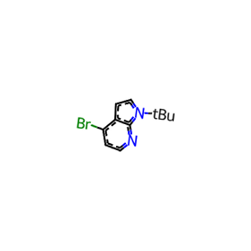 CC(C)(C)n1ccc2c(Br)ccnc21